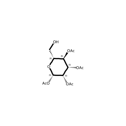 CC(=O)O[C@@H]1O[C@H](CO)[C@@H](OC(C)=O)[C@H](OC(C)=O)[C@@H]1OC(C)=O